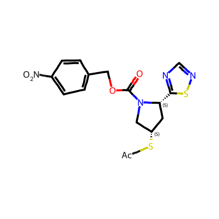 CC(=O)S[C@H]1C[C@@H](c2ncns2)N(C(=O)OCc2ccc([N+](=O)[O-])cc2)C1